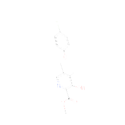 COC(=O)c1ncc(COc2ccc(F)cc2)c(C)c1O